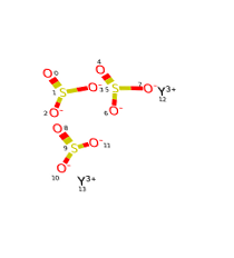 O=S([O-])[O-].O=S([O-])[O-].O=S([O-])[O-].[Y+3].[Y+3]